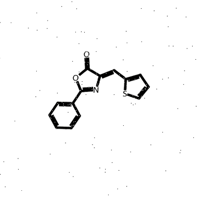 O=C1OC(c2ccccc2)=N/C1=C\c1cccs1